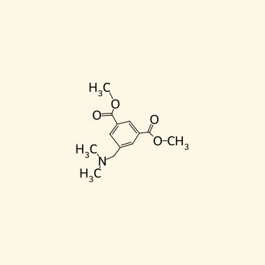 COC(=O)c1cc(CN(C)C)cc(C(=O)OC)c1